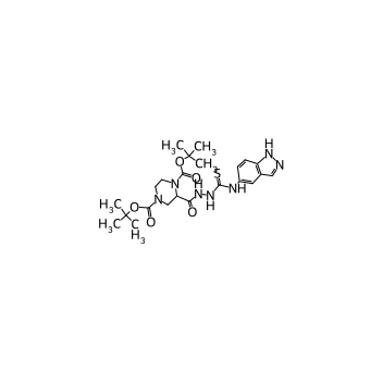 CC(C)(C)OC(=O)N1CCN(C(=O)OC(C)(C)C)C(C(=O)NNC(=S)Nc2ccc3[nH]ncc3c2)C1